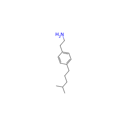 CC(C)CCCc1ccc(CCN)cc1